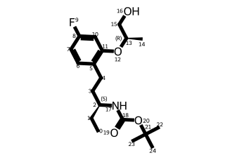 CC[C@@H](CCc1ccc(F)cc1O[C@H](C)CO)NC(=O)OC(C)(C)C